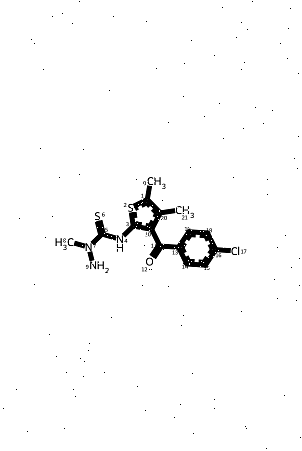 Cc1sc(NC(=S)N(C)N)c(C(=O)c2ccc(Cl)cc2)c1C